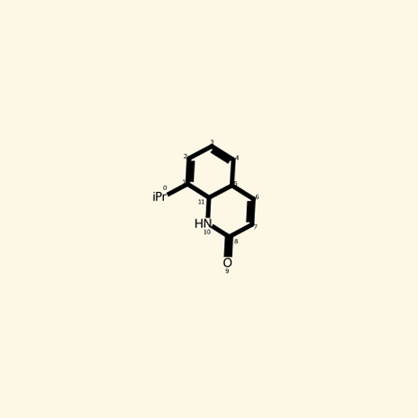 CC(C)C1=CC=CC2C=CC(=O)NC12